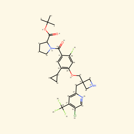 CC(C)(C)OC(=O)C1CCCN1C(=O)c1cc(C2CC2)c(OCC2(Cc3cc(C(F)(F)F)c(Cl)cn3)CNC2)cc1F